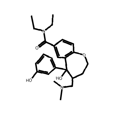 CCN(CC)C(=O)c1ccc2c(c1)C(O)(c1cccc(O)c1)C(CN(C)C)CCO2